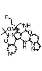 COC(C)(C)COc1cnccc1-c1[nH]c2c(c1Nc1cccc3ccnn13)C(=O)NC[C@@H]2CCF